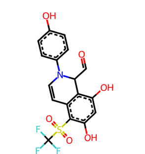 O=CC1c2c(O)cc(O)c(S(=O)(=O)C(F)(F)F)c2C=CN1c1ccc(O)cc1